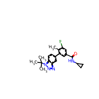 Cc1c(F)cc(C(=O)NC2CC2)cc1-c1ccc2c(c1)nnn2C(C)(C)C